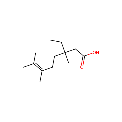 CCC(C)(CCC(C)=C(C)C)CC(=O)O